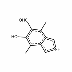 Cc1c(O)c(C=O)c(C)c2c[nH]cc12